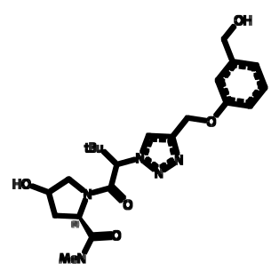 CNC(=O)[C@H]1CC(O)CN1C(=O)C(n1cc(COc2cccc(CO)c2)nn1)C(C)(C)C